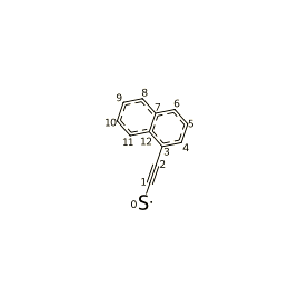 [S]C#Cc1cccc2ccccc12